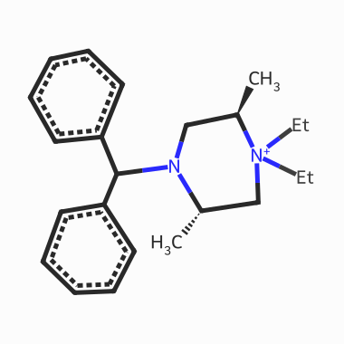 CC[N+]1(CC)C[C@H](C)N(C(c2ccccc2)c2ccccc2)C[C@H]1C